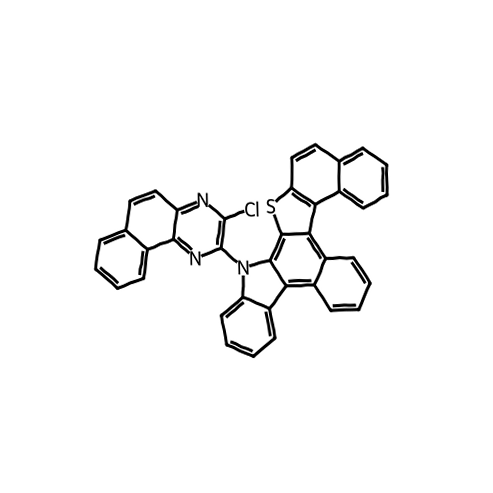 Clc1nc2ccc3ccccc3c2nc1-n1c2ccccc2c2c3ccccc3c3c(sc4ccc5ccccc5c43)c21